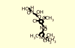 COc1cc(-c2noc(-c3cc(C)nc(N(C)C(C)C)c3)n2)cc(Cl)c1OC[C@H](O)CNC(=O)CO